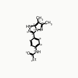 CCC(=O)Nc1ccc(-c2n[nH]c3c(C)c(C)nn23)cc1